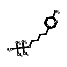 CC(C)(C)[Si](C)(C)OCCCCc1ccc(N)nc1